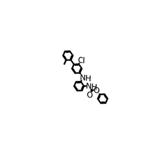 Cc1ccccc1-c1ccc(Nc2ccccc2NC(=O)Oc2ccccc2)cc1Cl